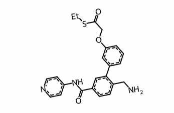 CCSC(=O)COc1cccc(-c2cc(C(=O)Nc3ccncc3)ccc2CN)c1